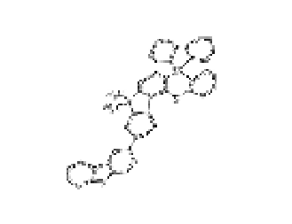 CC1(C)c2cc(-c3ccc4sc5ccccc5c4c3)ccc2-c2c1ccc1c2Sc2ccccc2[Si]1(c1ccccc1)c1ccccc1